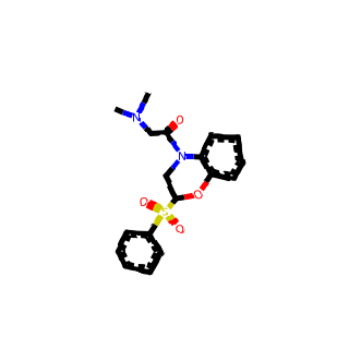 CN(C)CC(=O)N1CC(S(=O)(=O)c2ccccc2)Oc2ccccc21